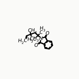 C=CC(C)(C)CC(C)(C)N1C(=O)c2ccccc2C1=O